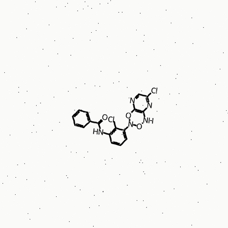 O=C(Nc1cccc(-n2o[nH]c3nc(Cl)cnc3o2)c1Cl)c1ccccc1